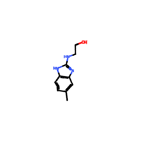 Cc1ccc2[nH]c(NCCO)nc2c1